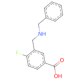 O=C(O)c1ccc(F)c(CNCc2ccccc2)c1